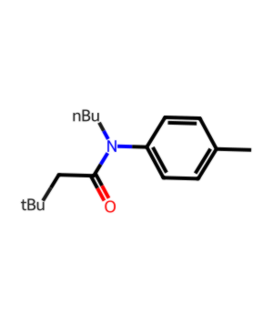 CCCCN(C(=O)CC(C)(C)C)c1ccc(C)cc1